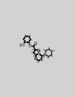 CCc1ccccc1OC(=O)c1cc2nccc(N3CCCCC3)n2n1